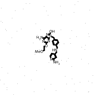 COCCOc1nc(N)c2nc(O)n(Cc3ccc(CNCc4ccnc(N)c4)cc3)c2n1